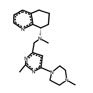 Cc1nc(CN(C)[C@H]2CCCc3cccnc32)cc(N2CCN(C)CC2)n1